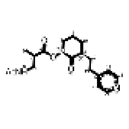 CC(=O)NCC(C)C(=O)ON1CCC[C@@H](CCc2ccncc2)C1=O